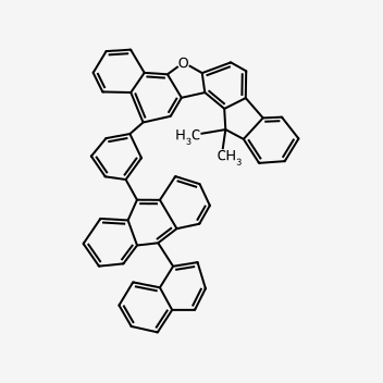 CC1(C)c2ccccc2-c2ccc3oc4c5ccccc5c(-c5cccc(-c6c7ccccc7c(-c7cccc8ccccc78)c7ccccc67)c5)cc4c3c21